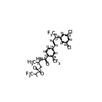 CC(CS(=O)(=O)CC(F)(F)F)NC(=O)c1ccc(/C=C/C(c2cc(Cl)cc(Cl)c2)C(F)(F)F)cc1C(F)(F)F